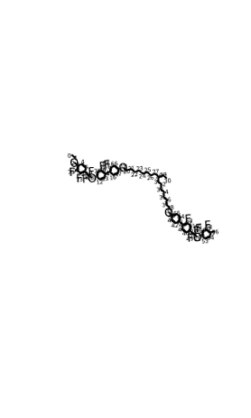 CCOc1ccc(C(F)(F)Oc2ccc(-c3ccc(OCCCCCCCCC(CC)CCCCCCCCOc4ccc(-c5ccc(C(F)(F)Oc6ccc(C)c(F)c6F)cc5F)cc4)cc3F)c(F)c2)c(F)c1F